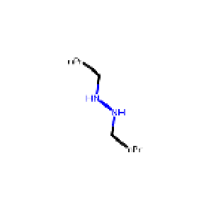 CCCCNNCCCC